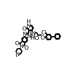 CN1CCC(N2C(=O)c3cc4nc(-c5c(NCC(O)COc6ccc(-c7ccccc7)cc6Cl)cc[nH]c5=O)[nH]c4cc3C2=O)CC1